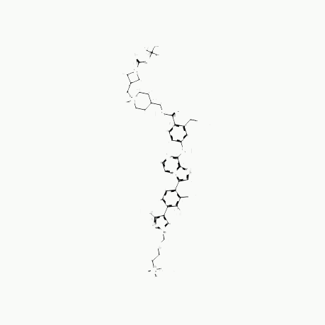 CCc1cc(Nc2nccn3c(-c4ccc(-c5cn(COCC[Si](C)(C)C)nc5C)c(F)c4F)cnc23)ccc1C(=O)NCC1CC[N+](C)(CC2CN(C(=O)OC(C)(C)C)C2)CC1